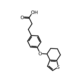 O=C(O)CCc1ccc(OC2CCCc3sccc32)cc1